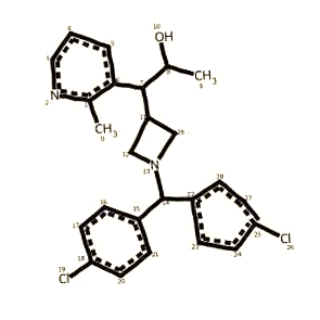 Cc1ncccc1C(C(C)O)C1CN(C(c2ccc(Cl)cc2)c2ccc(Cl)cc2)C1